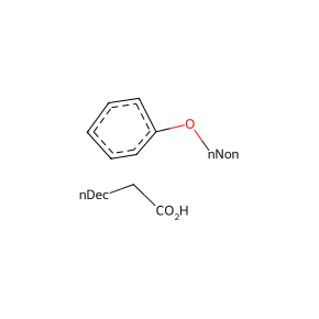 CCCCCCCCCCCC(=O)O.CCCCCCCCCOc1ccccc1